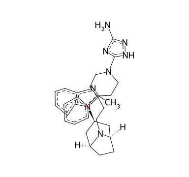 Cc1nc2ccccc2n1[C@H]1C[C@H]2CC[C@@H](C1)N2CCC1(c2ccccc2)CCN(c2nc(N)n[nH]2)CC1